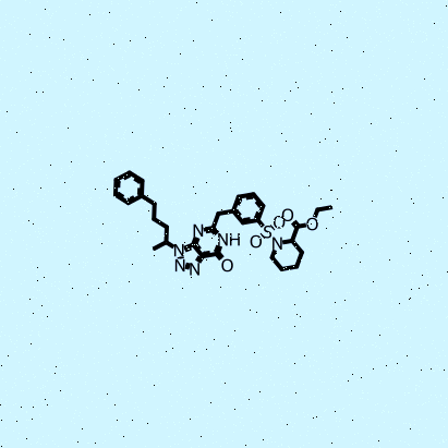 CCOC(=O)C1CCCCN1S(=O)(=O)c1cccc(Cc2nc3c(nnn3C(C)CCCc3ccccc3)c(=O)[nH]2)c1